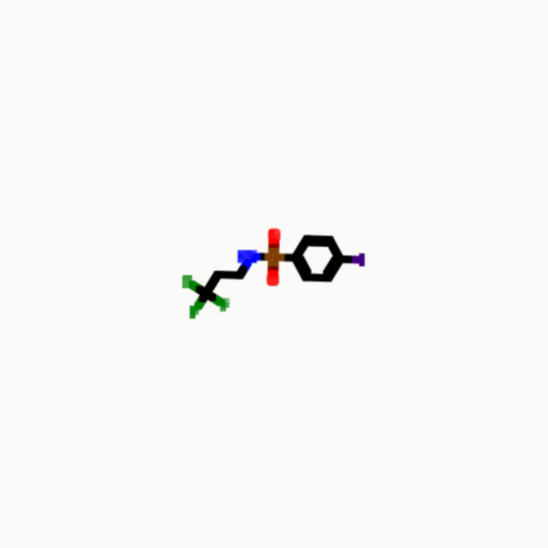 O=S(=O)(NCCC(F)(F)F)c1ccc(I)cc1